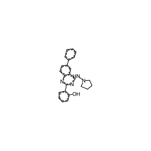 Oc1ccccc1-c1nc(NN2CCCC2)c2cc(-c3ccccc3)ccc2n1